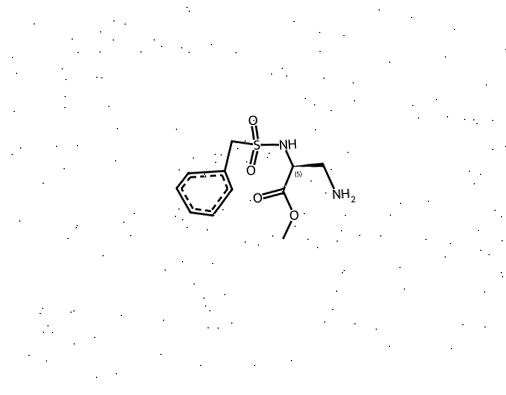 COC(=O)[C@H](CN)NS(=O)(=O)Cc1ccccc1